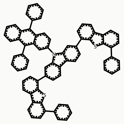 c1ccc(-c2c3ccccc3c(-c3ccccc3)c3cc(-n4c5cc(-c6cccc7c6sc6c(-c8ccccc8)cccc67)ccc5c5ccc(-c6cccc7c6sc6c(-c8ccccc8)cccc67)cc54)ccc23)cc1